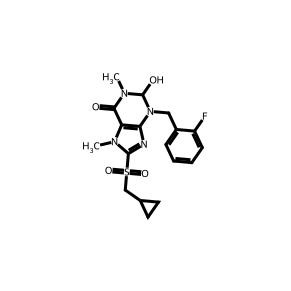 CN1C(=O)c2c(nc(S(=O)(=O)CC3CC3)n2C)N(Cc2ccccc2F)C1O